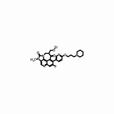 CCOCC1Cn2c(=O)n(C)c3cnc4cc(F)c(-c5ccc(OCCCN6CCCCC6)nc5)c(c4c32)C1=O